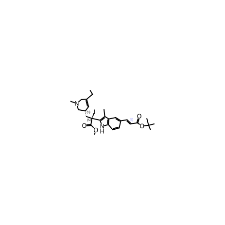 CCC1=C[C@H](C[C@@](I)(C(=O)OC)c2[nH]c3ccc(/C=C/C(=O)OC(C)(C)C)cc3c2C)CN(C)C1